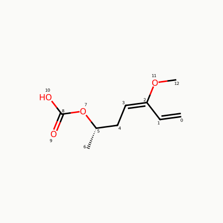 C=C/C(=C\C[C@H](C)OC(=O)O)OC